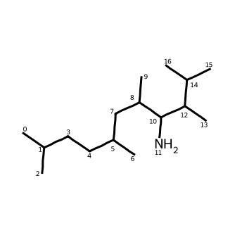 CC(C)CCC(C)CC(C)C(N)C(C)C(C)C